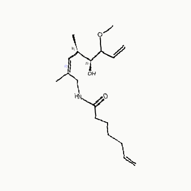 C=CCCCCC(=O)NC/C(C)=C\[C@@H](C)[C@H](O)C(C=C)OC